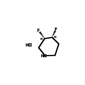 Cl.F[C@@H]1CCNC[C@@H]1F